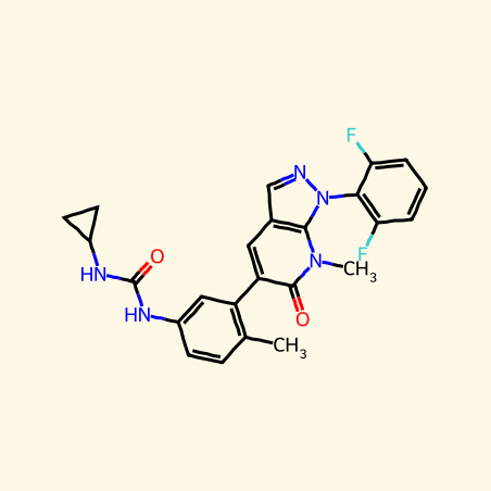 Cc1ccc(NC(=O)NC2CC2)cc1-c1cc2cnn(-c3c(F)cccc3F)c2n(C)c1=O